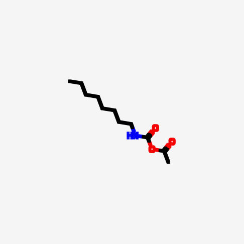 CCCCCCCCNC(=O)OC(C)=O